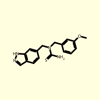 COc1cccc(CN(Cc2ccc3cn[nH]c3c2)C(N)=S)c1